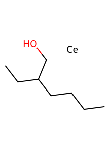 CCCCC(CC)CO.[Ce]